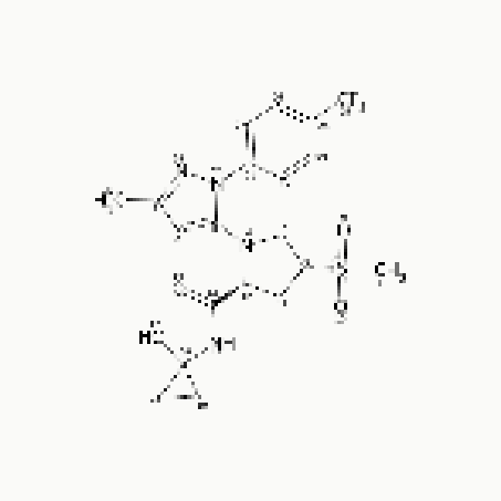 Cc1cc(N2C[C@H](S(C)(=O)=O)C[C@H]2C(=O)NC2(C#N)CC2)n(-c2ccc(C(F)(F)F)cc2)n1